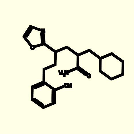 NC(=O)C(CC1CCCCC1)CC(CCc1ccccc1O)c1ncco1